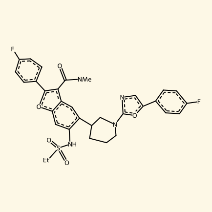 CCS(=O)(=O)Nc1cc2oc(-c3ccc(F)cc3)c(C(=O)NC)c2cc1C1CCCN(c2ncc(-c3ccc(F)cc3)o2)C1